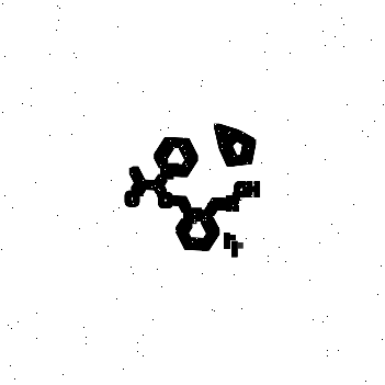 CC(=O)C(OC[n+]1ccccc1C=NO)[n+]1ccccc1.[I-].[I-].c1cc2cc-2c1